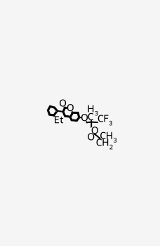 C=C(C)C(=O)OCC(C)(COc1ccc2cc(-c3ccccc3CC)c(=O)oc2c1)CC(F)(F)F